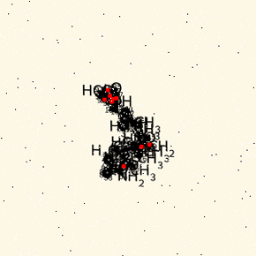 C=CCC1(C(C)CC)C(=O)NC(=O)NC1=O.CC(=O)Nc1ccc(O)cc1.CC(CN1c2ccccc2Sc2ccccc21)N(C)C.COc1cccc([C@@]2(O)CCCC[C@@H]2CN(C)C)c1.NC(=O)C[S+]([O-])C(c1ccccc1)c1ccccc1.O=C1CC[C@@]2(O)[C@H]3Cc4ccc(O)c5c4[C@@]2(CCN3CC2CC2)[C@H]1O5